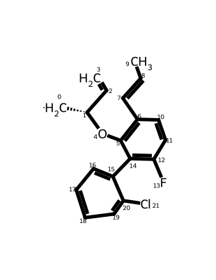 [CH2][C@H](C=C)Oc1c(C=CC)ccc(F)c1-c1ccccc1Cl